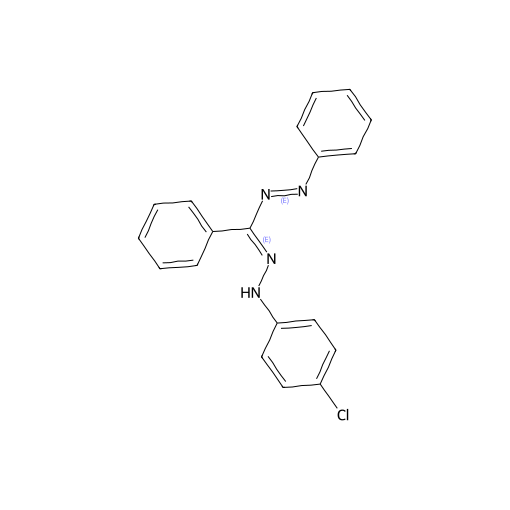 Clc1ccc(N/N=C(/N=N/c2ccccc2)c2ccccc2)cc1